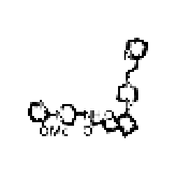 COc1cccnc1N1CCC(NC(=O)c2cc3cccc(N4CCN(CCc5ccccn5)CC4)c3o2)CC1